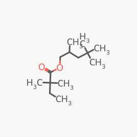 CCC(C)(C)C(=O)OCC(C)CC(C)(C)C